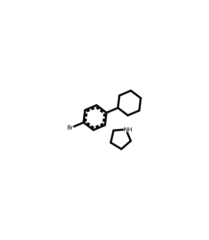 Brc1ccc(C2CCCCC2)cc1.C1CCNC1